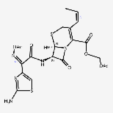 C/C=C\C1=C(C(=O)OCOC(C)=O)N2C(=O)[C@@H](NC(=O)/C(=N\OC(C)=O)c3csc(N)n3)[C@H]2SC1